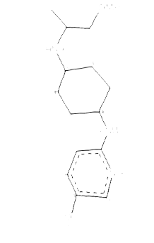 COCC(C)NC1CCC(Nc2ccc(Cl)cn2)CC1